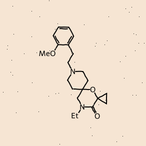 CCN1CC2(CCN(CCc3ccccc3OC)CC2)OC2(CC2)C1=O